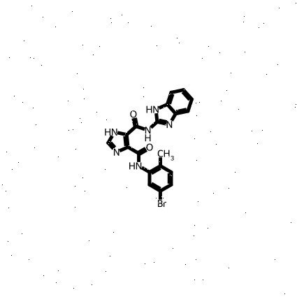 Cc1ccc(Br)cc1NC(=O)c1nc[nH]c1C(=O)Nc1nc2ccccc2[nH]1